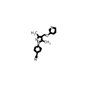 Cc1nn(-c2ccc(C#N)cc2)c(C)c1COc1cccnc1